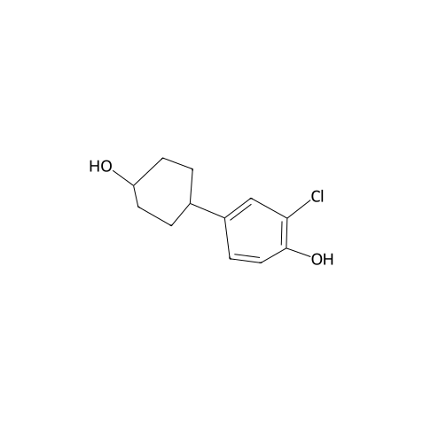 Oc1ccc(C2CCC(O)CC2)cc1Cl